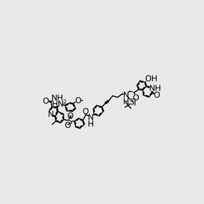 COc1cccc(Nc2c(C(N)=O)cnc3c(C)cc(S(=O)(=O)c4cccc(C(=O)Nc5ccc(C#CCCCNC[C@H](O[Si](C)(C)C(C)(C)C)c6ccc(O)c7[nH]c(=O)ccc67)cc5)c4)cc23)c1